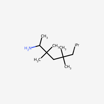 CC(C)CC(C)(C)CC(C)(C)C(C)N